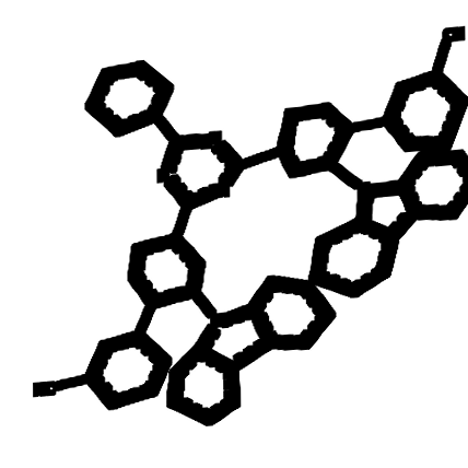 N#Cc1cccc(-c2ccc(-c3nc(-c4ccccc4)nc(-c4ccc(-c5cccc(C#N)c5)c(-n5c6ccccc6c6ccccc65)c4)n3)cc2-n2c3ccccc3c3ccccc32)c1